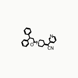 N#CC(=C1CCN(C(=O)CC(c2ccccc2)c2ccccc2)CC1)c1cccnc1